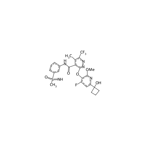 COc1nc(C2(O)CCC2)cc(F)c1Oc1nnc(C(F)(F)F)c(C)c1C(=O)Nc1cccc(S(C)(=N)=O)c1